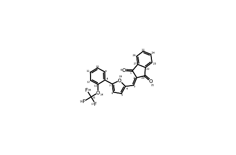 O=C1C(=Cc2ccc(-c3ccccc3OC(F)(F)F)o2)C(=O)c2ccccc21